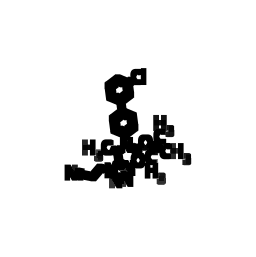 CC(c1nnnn1CCC#N)N(C(=O)OC(C)(C)C)c1ccc(-c2cccc(Cl)c2)cc1